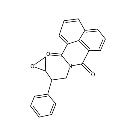 O=C1c2cccc3cccc(c23)C(=O)N1CC(c1ccccc1)C1CO1